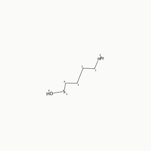 CCCCCCCSO